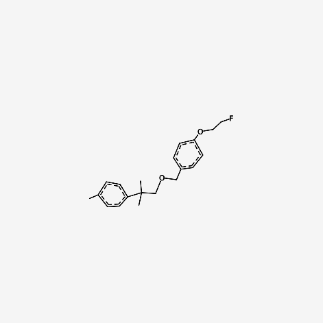 Cc1ccc(C(C)(C)COCc2ccc(OCCF)cc2)cc1